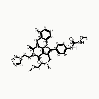 COCCN(C)Cc1c(-c2ccc(NC(=O)NOC)cc2)sc2c1c(=O)n(CCn1cnnn1)c(=O)n2Cc1c(F)cccc1F